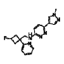 Cn1cc(-c2ccc(NCC3(c4ccccn4)CC(F)C3)nn2)cn1